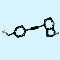 N#CCc1ccc(C#Cc2ccnc3[nH]ccc23)cc1